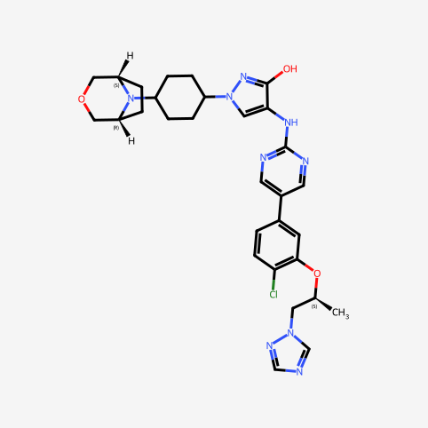 C[C@@H](Cn1cncn1)Oc1cc(-c2cnc(Nc3cn(C4CCC(N5[C@@H]6CC[C@H]5COC6)CC4)nc3O)nc2)ccc1Cl